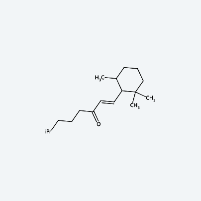 CC(C)CCCC(=O)C=CC1C(C)CCCC1(C)C